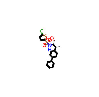 C[C@H](c1ccc(-c2ccccc2)cc1)[C@@H](CO)NS(=O)(=O)c1ccc(Cl)s1